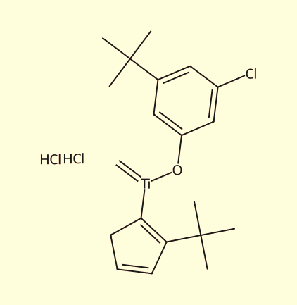 Cl.Cl.[CH2]=[Ti]([O]c1cc(Cl)cc(C(C)(C)C)c1)[C]1=C(C(C)(C)C)C=CC1